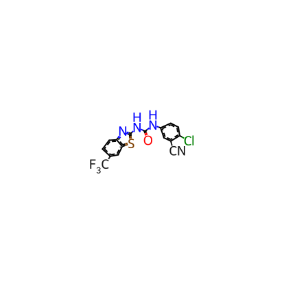 N#Cc1cc(NC(=O)Nc2nc3ccc(C(F)(F)F)cc3s2)ccc1Cl